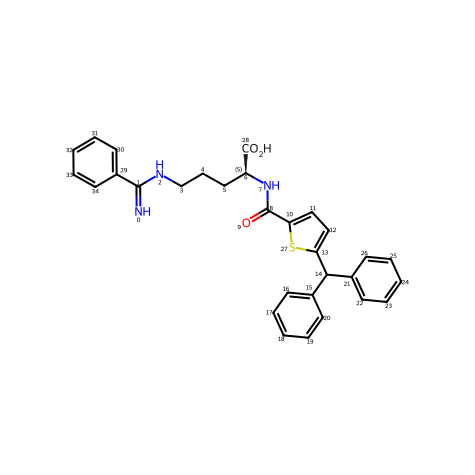 N=C(NCCC[C@H](NC(=O)c1ccc(C(c2ccccc2)c2ccccc2)s1)C(=O)O)c1ccccc1